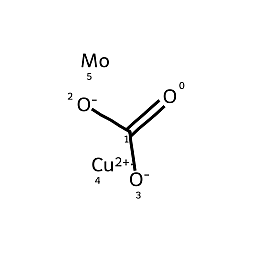 O=C([O-])[O-].[Cu+2].[Mo]